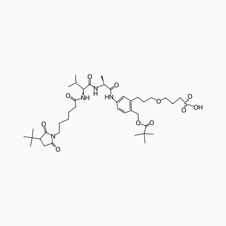 CC(C)[C@H](NC(=O)CCCCCN1C(=O)CC(C(C)(C)C)C1=O)C(=O)N[C@@H](C)C(=O)Nc1ccc(COC(=O)C(C)(C)C)c(CCCOCCCS(=O)(=O)O)c1